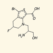 NC(CO)CN1CC(F)Cc2c(Br)sc(C(=O)O)c21